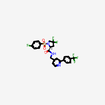 O=C(NCc1ccnc(-c2ccc(C(F)(F)F)cc2)c1)[C@@H]1CC(F)(F)CN1S(=O)(=O)c1ccc(F)cc1